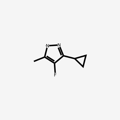 CC1=C(F)C(C2CC2)=N[N]1